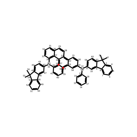 CC1(C)c2ccccc2-c2cc(N(c3ccccc3)c3ccc4c(ccc5c4ccc4cccc(N(c6ccccc6)c6ccc7c(c6)-c6ccccc6C7(C)C)c45)c3)ccc21